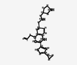 C=CCOc1cc(CNCC2CCNC2)ccc1NC(=O)c1nc(C2CC2)cs1